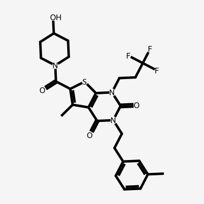 Cc1cccc(CCn2c(=O)c3c(C)c(C(=O)N4CCC(O)CC4)sc3n(CCC(F)(F)F)c2=O)c1